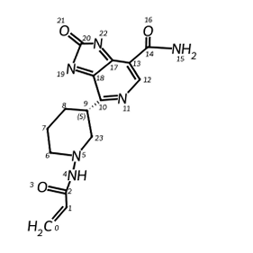 C=CC(=O)NN1CCC[C@H](c2ncc(C(N)=O)c3c2=NC(=O)N=3)C1